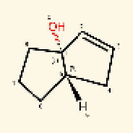 O[C@]12C=CC[C@@H]1CCC2